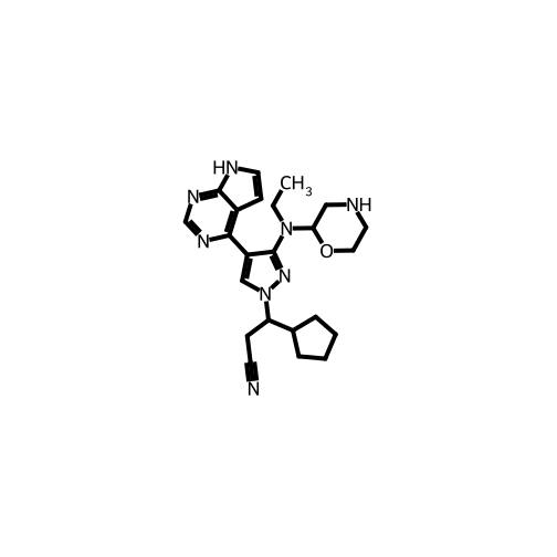 CCN(c1nn(C(CC#N)C2CCCC2)cc1-c1ncnc2[nH]ccc12)C1CNCCO1